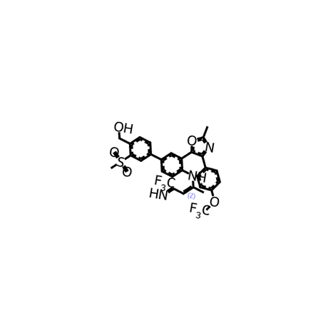 C/C(=C/C(=N)C(F)(F)F)Nc1ccc(-c2ccc(CO)c(S(C)(=O)=O)c2)cc1-c1oc(C)nc1-c1ccc(OC(F)(F)F)cc1